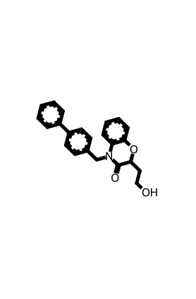 O=C1C(CCO)Oc2ccccc2N1Cc1ccc(-c2ccccc2)cc1